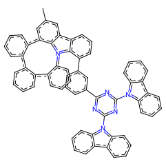 Cc1cc2c3ccccc3c3ccccc3c3ccccc3n3c4c(-c5cccc(-c6nc(-n7c8ccccc8c8ccccc87)nc(-n7c8ccccc8c8ccccc87)n6)c5)cccc4c(c1)c23